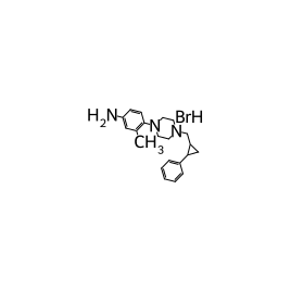 Br.Cc1cc(N)ccc1N1CCN(CC2CC2c2ccccc2)CC1